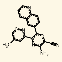 Cc1cnnc(-c2nc(N)c(C#N)nc2-c2ccc3ncccc3c2)c1